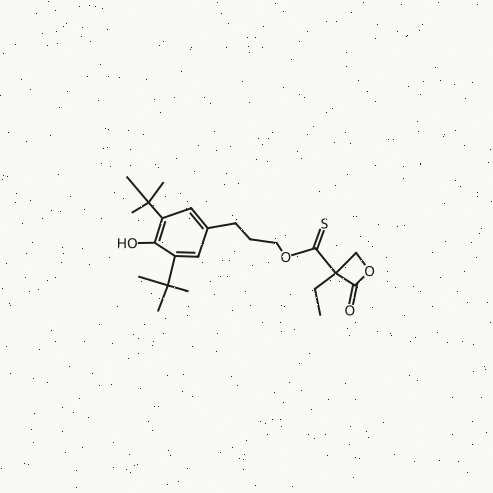 CCC1(C(=S)OCCCc2cc(C(C)(C)C)c(O)c(C(C)(C)C)c2)COC1=O